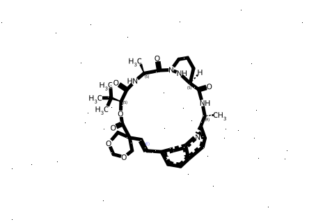 C[C@@H]1NC(=O)[C@H](C(C)(C)C)OC(=O)C2(/C=C/c3ccc4ccc(nc4c3)[C@@H](C)NC(=O)[C@@H]3CCCN(N3)C1=O)COCOC2